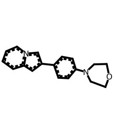 c1ccn2cc(-c3ccc(N4CCOCC4)cc3)cc2c1